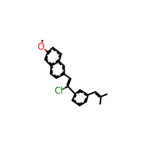 COc1ccc2cc(C=C(Cl)c3cccc(C=C(C)C)c3)ccc2c1